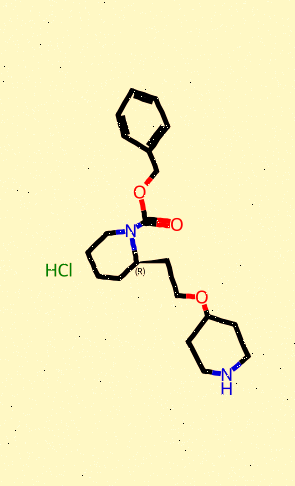 Cl.O=C(OCc1ccccc1)N1CCCC[C@@H]1CCOC1CCNCC1